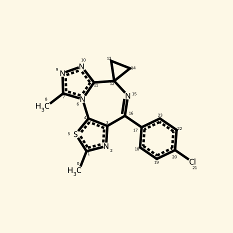 Cc1nc2c(s1)-n1c(C)nnc1C1(CC1)N=C2c1ccc(Cl)cc1